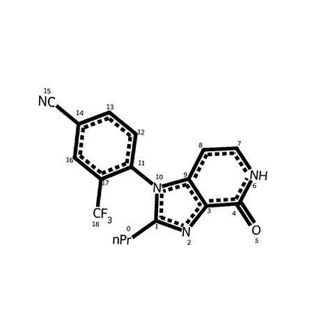 CCCc1nc2c(=O)[nH]ccc2n1-c1ccc(C#N)cc1C(F)(F)F